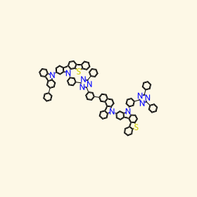 c1ccc(-c2ccc3c(c2)c2ccccc2n3-c2ccc3c4ccc5c6ccccc6sc5c4n(-c4cccc(-c5nc(-c6ccccc6)nc(-c6cccc(-c7ccc8ccc9c(c8c7)c7ccccc7n9-c7ccc8c9c%10c(ccc9n(-c9cccc(-c%11nc(-c%12ccccc%12)nc(-c%12ccccc%12)n%11)c9)c8c7)sc7ccccc7%10)c6)n5)c4)c3c2)cc1